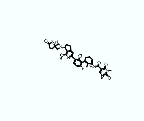 COc1nc(-c2ccc(F)c(C3=C(C)C(NC(=O)c4cn(C)c(=O)n(C)c4=O)=CCC3)c2Cl)cc2c1[C@@H](N1CC3(CCC(=O)N3)C1)CC2